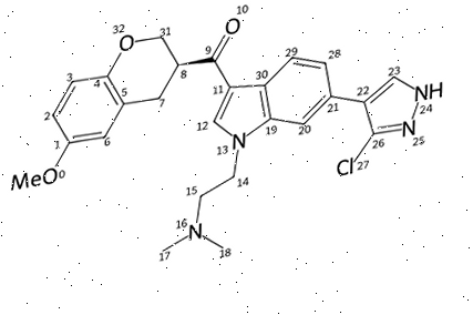 COc1ccc2c(c1)C[C@H](C(=O)c1cn(CCN(C)C)c3cc(-c4c[nH]nc4Cl)ccc13)CO2